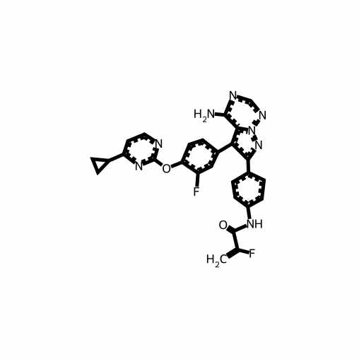 C=C(F)C(=O)Nc1ccc(-c2nn3ncnc(N)c3c2-c2ccc(Oc3nccc(C4CC4)n3)c(F)c2)cc1